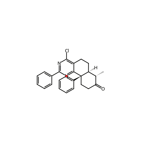 C[C@@H]1C(=O)CC[C@]2(c3ccccc3)c3nc(-c4ccccc4)nc(Cl)c3CC[C@@H]12